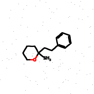 [SiH3]C1(CCc2ccccc2)CCCCO1